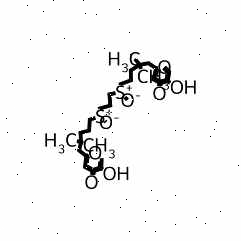 CC(C)(CCC[S+]([O-])CCC[S+]([O-])CCCC(C)(C)Cc1cc(=O)c(O)co1)Cc1cc(=O)c(O)co1